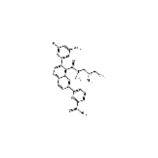 CC[C@H](N)CN(C)C(=O)c1c(-c2cc(C)cc(F)c2)cnc2ccc(-c3cccc(C(N)=O)n3)cc12